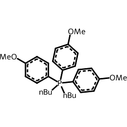 CCCCP(CCCC)(c1ccc(OC)cc1)(c1ccc(OC)cc1)c1ccc(OC)cc1